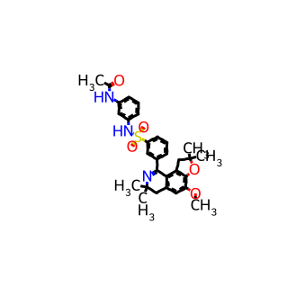 COc1cc2c(c3c1OC(C)(C)C3)C(c1cccc(S(=O)(=O)Nc3cccc(NC(C)=O)c3)c1)=NC(C)(C)C2